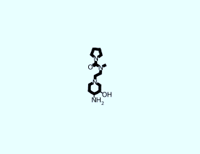 CN(CCN1CC[C@@H](N)[C@@H](O)C1)C(=O)N1CCCC1